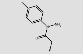 Cc1ccc(N(N)C(=O)CF)cc1